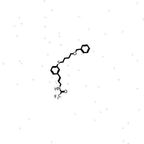 O=C(NCC=Cc1cccc(SCCCCOCc2ccccc2)c1)C(F)(F)F